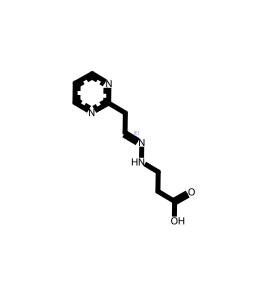 O=C(O)CCN/N=C/Cc1ncccn1